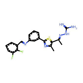 CC(=NNC(=N)N)c1sc(-c2cccc(N=Cc3cccc(F)c3F)c2)nc1C